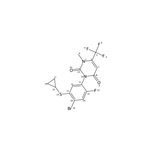 Cn1c(C(F)(F)F)cc(=O)n(-c2cc(SC3CC3)c(Br)cc2F)c1=O